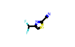 N#Cc1nc(C(F)F)cs1